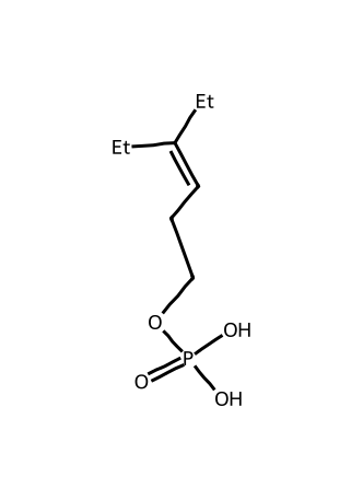 CCC(=CCCOP(=O)(O)O)CC